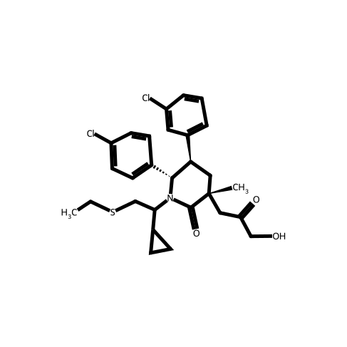 CCSCC(C1CC1)N1C(=O)[C@@](C)(CC(=O)CO)C[C@H](c2cccc(Cl)c2)[C@H]1c1ccc(Cl)cc1